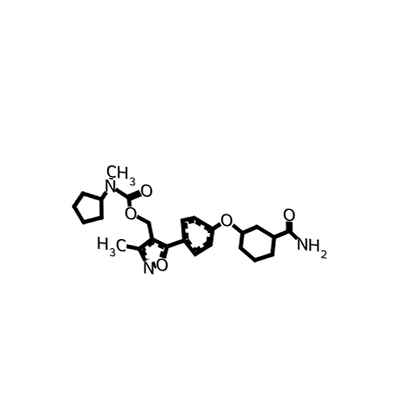 Cc1noc(-c2ccc(OC3CCCC(C(N)=O)C3)cc2)c1COC(=O)N(C)C1CCCC1